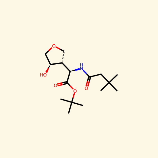 CC(C)(C)CC(=O)N[C@@H](C(=O)OC(C)(C)C)[C@H]1COC[C@@H]1O